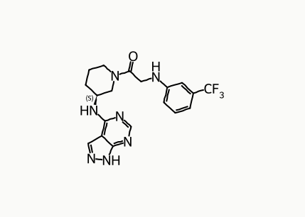 O=C(CNc1cccc(C(F)(F)F)c1)N1CCC[C@H](Nc2ncnc3[nH]ncc23)C1